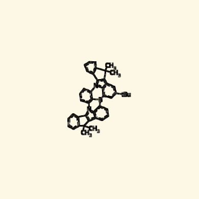 CC(C)(C)c1cc2c3c(c1)c1c(n3-c3cccc4c3B2c2cccc3c5c(n-4c23)-c2ccccc2C5(C)C)-c2ccccc2C1(C)C